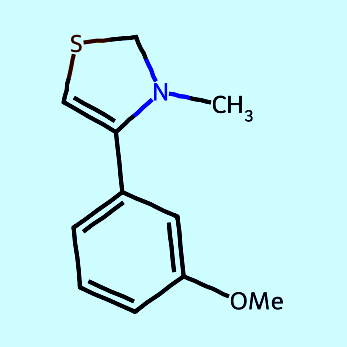 COc1cccc(C2=CSCN2C)c1